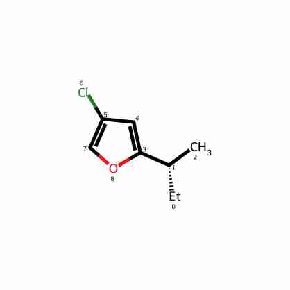 CC[C@@H](C)c1cc(Cl)co1